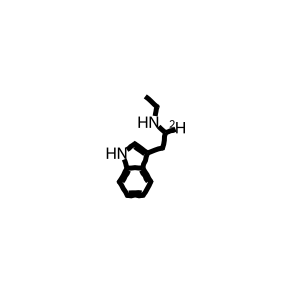 [2H]C(Cc1c[nH]c2ccccc12)NCC